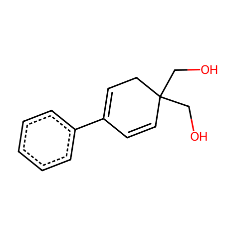 OCC1(CO)C=CC(c2ccccc2)=CC1